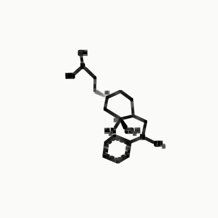 CN(CC1CC[C@@H](CCB(O)O)C[C@]1(N)C(=O)O)c1ccccc1